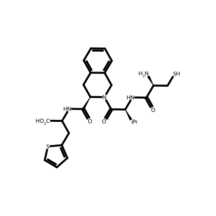 CC(C)[C@H](NC(=O)[C@@H](N)CS)C(=O)N1Cc2ccccc2C[C@@H]1C(=O)NC(Cc1cccs1)C(=O)O